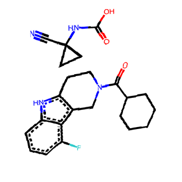 N#CC1(NC(=O)O)CC1.O=C(C1CCCCC1)N1CCc2[nH]c3cccc(F)c3c2C1